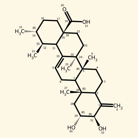 C=C1C2CC[C@]3(C)C(CC=C4C5[C@@H](C)[C@H](C)CC[C@]5(C(=O)O)CC[C@]43C)[C@@]2(C)C[C@@H](O)[C@@H]1O